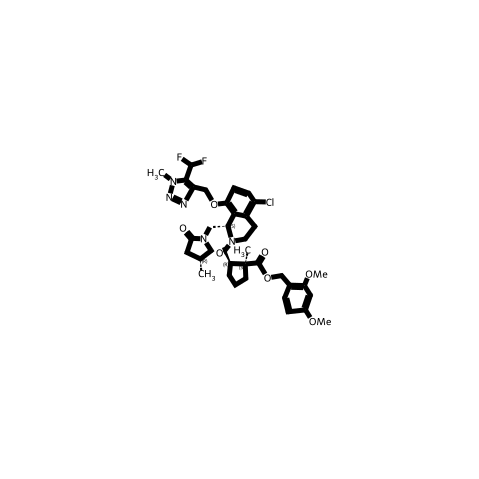 COc1ccc(COC(=O)[C@@]2(C)CCC[C@H]2C(=O)N2CCc3c(Cl)ccc(OCc4nnn(C)c4C(F)F)c3[C@H]2CN2C[C@H](C)CC2=O)c(OC)c1